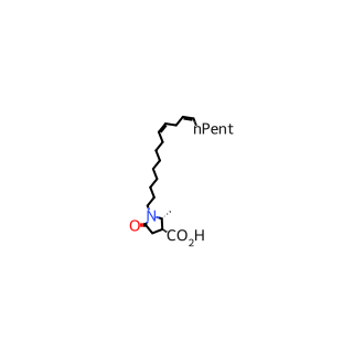 CCCCC/C=C\C/C=C\CCCCCCCCN1C(=O)C[C@H](C(=O)O)[C@H]1C